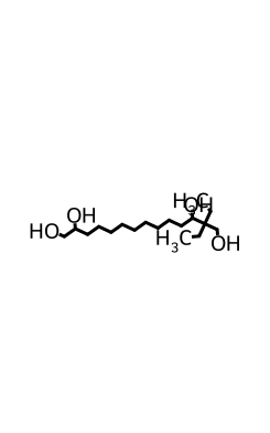 CCC(CC)(CO)C(O)CCCCCCCCCC(O)CO